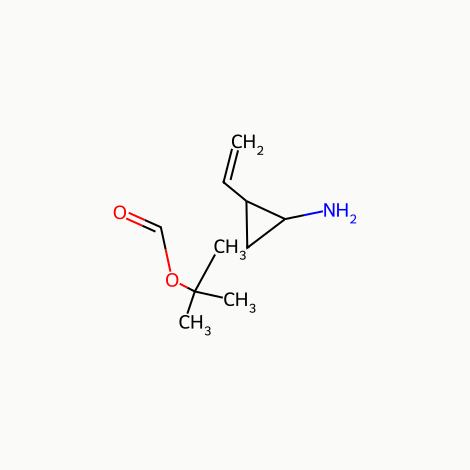 C=CC1CC1N.CC(C)(C)OC=O